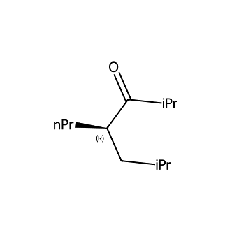 CCC[C@H](CC(C)C)C(=O)C(C)C